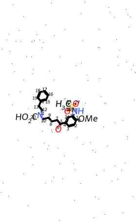 COc1ccc(C(=O)CCCCN(CCc2ccccc2)C(=O)O)cc1NS(C)(=O)=O